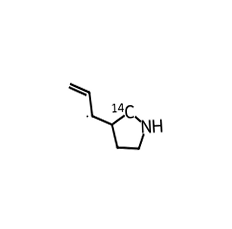 C=C[CH]C1CCN[14CH2]1